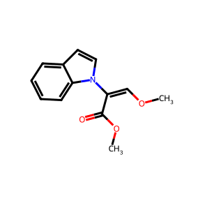 COC=C(C(=O)OC)n1ccc2ccccc21